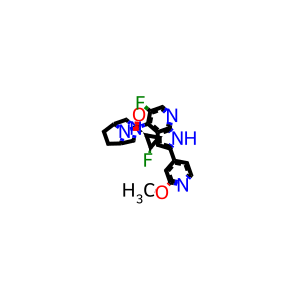 COc1cc(-c2cc3c(N4CC5CCC(C4)N5C(=O)[C@@H]4C[C@H]4F)c(F)cnc3[nH]2)ccn1